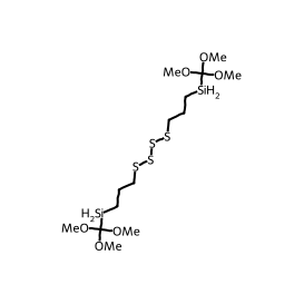 COC(OC)(OC)[SiH2]CCCSSSSCCC[SiH2]C(OC)(OC)OC